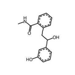 CNC(=O)c1ccccc1CC(O)c1cccc(O)c1